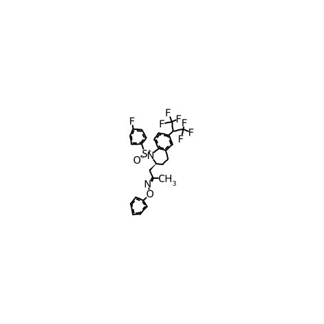 C/C(C[C@@H]1CCc2cc(C(C(F)(F)F)C(F)(F)F)ccc2N1[S+]([O-])c1ccc(F)cc1)=N\Oc1ccccc1